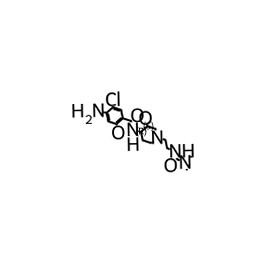 COc1cc(N)c(Cl)cc1C(=O)N[C@@H]1CCN(CCNC(=O)N(C)C)C[C@@H]1OC